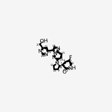 O=c1[nH]cc(F)cc1[C@H]1CCCN1c1ccc2ncc(-c3cc(CO)ncn3)n2n1